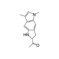 CC(=O)C1Cc2cc3c(cc2N1)c(C)cn3C